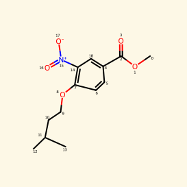 COC(=O)c1ccc(OCCC(C)C)c([N+](=O)[O-])c1